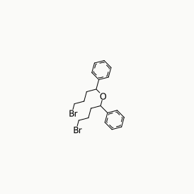 BrCCCC(OC(CCCBr)c1ccccc1)c1ccccc1